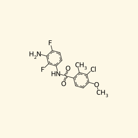 COc1ccc(S(=O)(=O)Nc2ccc(F)c(N)c2F)c(C)c1Cl